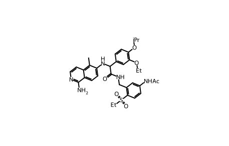 CCOc1cc(C(Nc2ccc3c(N)nccc3c2C)C(=O)NCc2cc(NC(C)=O)ccc2S(=O)(=O)CC)ccc1OC(C)C